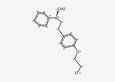 O=C[C@@H](CCc1ccc(OCCCl)cc1)c1ccccc1